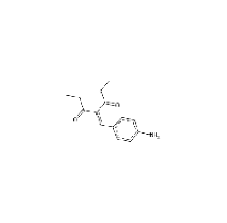 CCC(=O)C(=Cc1ccc(N)cc1)C(=O)CC